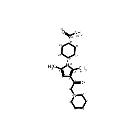 Cc1cc(C(=O)CN2CCCCC2)c(C)n1[C@H]1CC[C@@H](C(N)=O)CC1